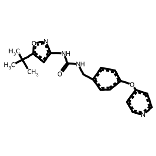 CC(C)(C)c1cc(NC(=O)NCc2ccc(Oc3ccncc3)cc2)no1